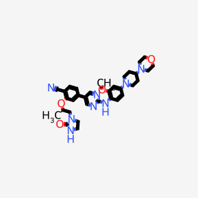 COc1cc(N2CCC(N3CCOCC3)CC2)ccc1Nc1ncc(-c2ccc(C#N)c(O[C@@H](C)CN3CCNC3=O)c2)cn1